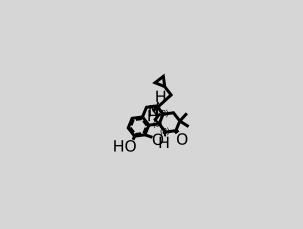 CC1(C)C[C@H]2[C@H]3Cc4ccc(O)c5c4[C@@]2(CCN3CC2CC2)[C@@H](O5)C1=O